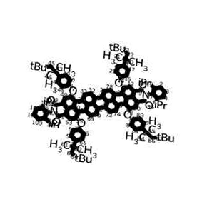 CC(C)c1cccc(C(C)C)c1N1C(=O)c2cc(Oc3ccc(C(C)(C)CC(C)(C)C)cc3)c3c4ccc5c6ccc7c8c(Oc9ccc(C(C)(C)CC(C)(C)C)cc9)cc9c%10c(cc(Oc%11ccc(C(C)(C)CC(C)(C)C)cc%11)c(c%11ccc(c%12ccc(c%13c(Oc%14ccc(C(C)(C)CC(C)(C)C)cc%14)cc(c2c3%13)C1=O)c4c5%12)c6c7%11)c%108)C(=O)N(c1c(C(C)C)cccc1C(C)C)C9=O